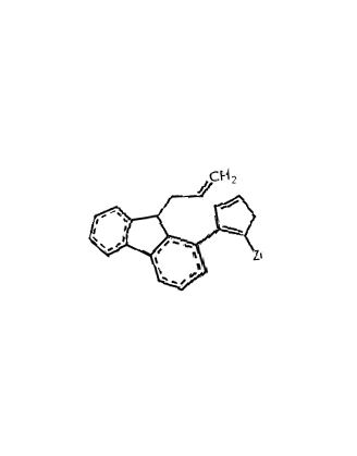 C=CCC1c2ccccc2-c2cccc(C3=[C]([Zr])CC=C3)c21